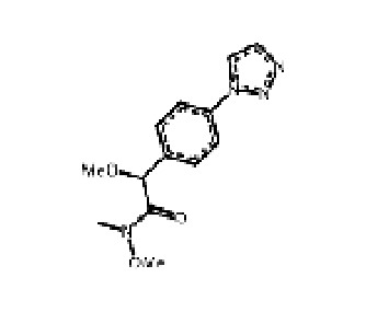 COC(C(=O)N(C)OC)c1ccc(-n2ccnn2)cc1